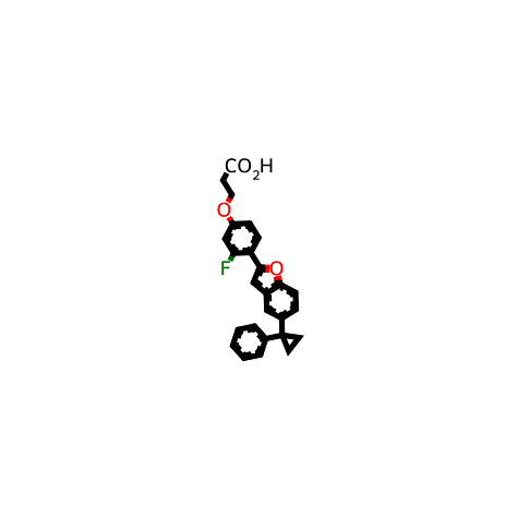 O=C(O)CCOc1ccc(-c2cc3cc(C4(c5ccccc5)CC4)ccc3o2)c(F)c1